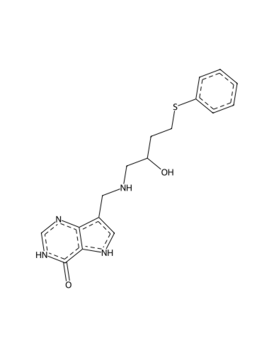 O=c1[nH]cnc2c(CNCC(O)CCSc3ccccc3)c[nH]c12